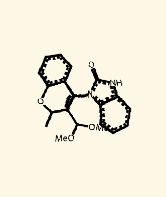 COC(OC)C1=C(n2c(=O)[nH]c3ccccc32)c2ccccc2OC1C